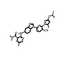 Cc1cc(C(=O)N(C)C)c(Nc2ccc3c(c2)ncn3-c2ccc(C#N)c(-n3nc(OC(F)F)cc3C)n2)nn1